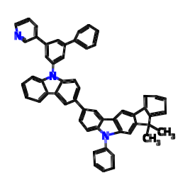 CC1(C)c2ccccc2-c2cc3c4cc(-c5ccc6c(c5)c5ccccc5n6-c5cc(-c6ccccc6)cc(-c6cccnc6)c5)ccc4n(-c4ccccc4)c3cc21